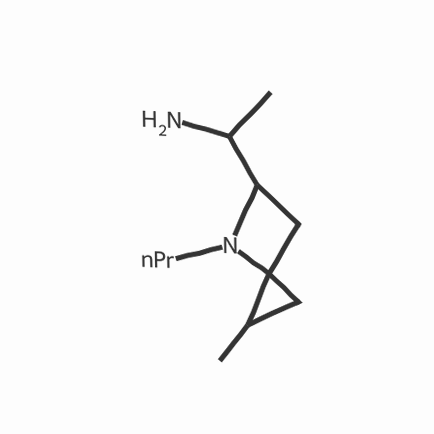 CCCN1C(C(C)N)CC12CC2C